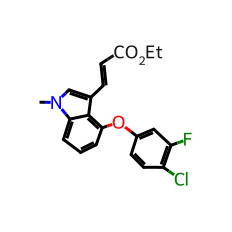 CCOC(=O)C=Cc1cn(C)c2cccc(Oc3ccc(Cl)c(F)c3)c12